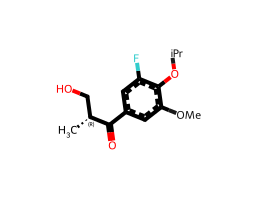 COc1cc(C(=O)[C@H](C)CO)cc(F)c1OC(C)C